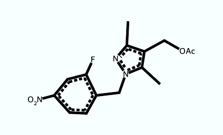 CC(=O)OCc1c(C)nn(Cc2ccc([N+](=O)[O-])cc2F)c1C